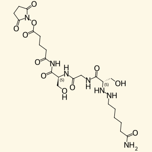 NC(=O)CCCCCNN[C@@H](CO)C(=O)NCC(=O)N[C@@H](CO)C(=O)NC(=O)CCCC(=O)ON1C(=O)CCC1=O